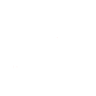 CCOC(OCC)c1ccc(O)c(C)c1